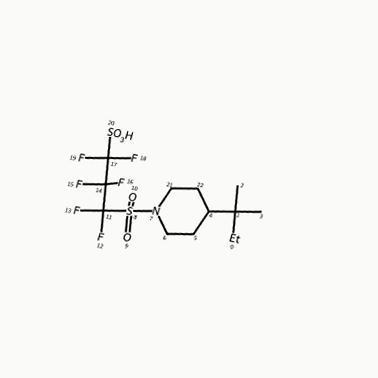 CCC(C)(C)C1CCN(S(=O)(=O)C(F)(F)C(F)(F)C(F)(F)S(=O)(=O)O)CC1